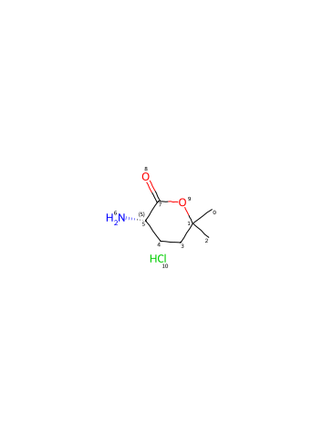 CC1(C)CC[C@H](N)C(=O)O1.Cl